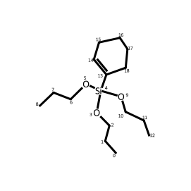 CCCO[Si](OCCC)(OCCC)C1=CCCCC1